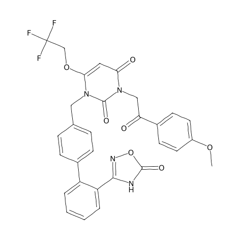 COc1ccc(C(=O)Cn2c(=O)cc(OCC(F)(F)F)n(Cc3ccc(-c4ccccc4-c4noc(=O)[nH]4)cc3)c2=O)cc1